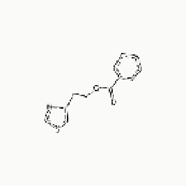 O=C(OCCc1cscn1)c1ccccc1